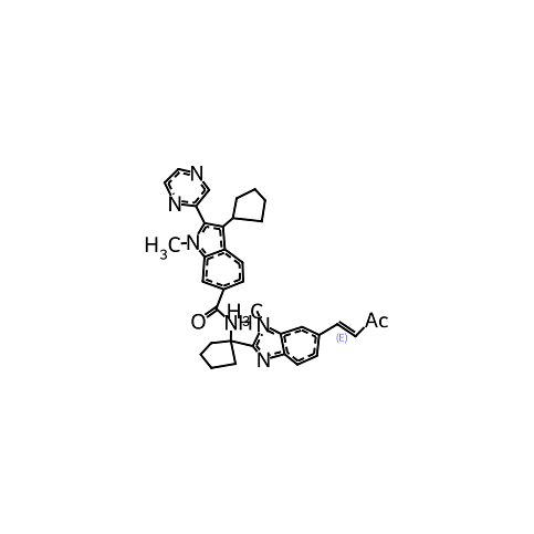 CC(=O)/C=C/c1ccc2nc(C3(NC(=O)c4ccc5c(C6CCCC6)c(-c6cnccn6)n(C)c5c4)CCCC3)n(C)c2c1